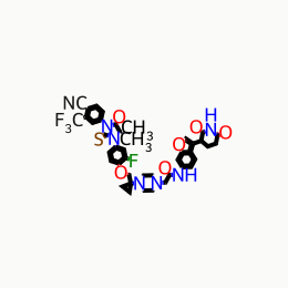 CC1(C)C(=O)N(c2ccc(C#N)c(C(F)(F)F)c2)C(=S)N1c1ccc(OCC2(N3CCN(CC(=O)Nc4ccc5c(C6CCC(=O)NC6=O)coc5c4)CC3)CC2)c(F)c1